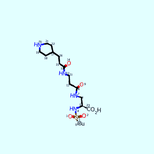 CCC(C)S(=O)(=O)N[C@@H](CNC(=O)CCNC(=O)CCC1CCNCC1)C(=O)O